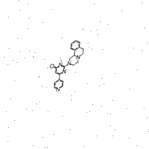 Cn1c(N2CCN3CCc4ccccc4C3C2)nc(-c2ccncc2)cc1=O